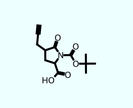 C#CCC1CC(C(=O)O)N(C(=O)OC(C)(C)C)C1=O